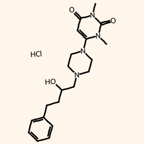 Cl.Cn1c(N2CCN(CC(O)CCc3ccccc3)CC2)cc(=O)n(C)c1=O